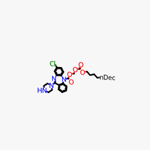 CCCCCCCCCCCCCCOC(=O)OCOC(=O)N1c2ccc(Cl)cc2N=C(N2CCNCC2)c2ccccc21